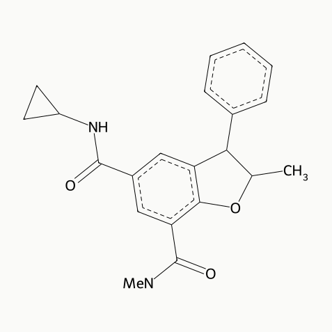 CNC(=O)c1cc(C(=O)NC2CC2)cc2c1OC(C)C2c1ccccc1